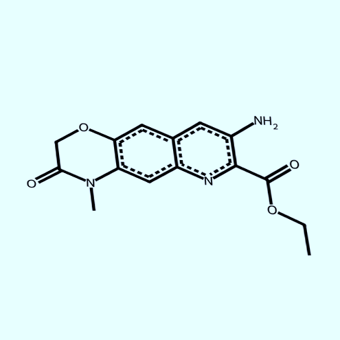 CCOC(=O)c1nc2cc3c(cc2cc1N)OCC(=O)N3C